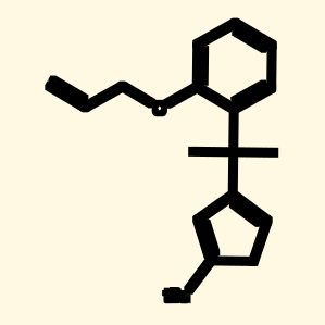 C=CCOc1ccccc1C(C)(C)C1=CCC(C(C)(C)C)=C1